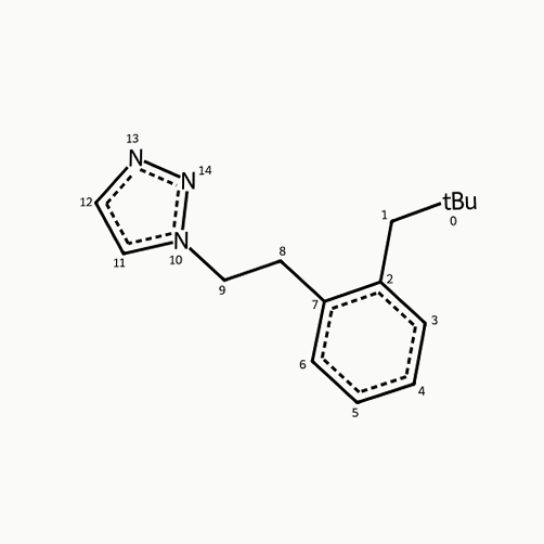 CC(C)(C)Cc1ccccc1CCn1ccnn1